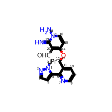 CC(C)n1nccc1-c1ncccc1COc1ccn(N)c(=N)c1C=O